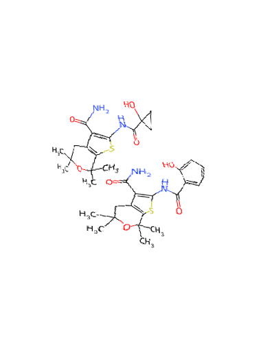 CC1(C)Cc2c(sc(NC(=O)C3(O)CC3)c2C(N)=O)C(C)(C)O1.CC1(C)Cc2c(sc(NC(=O)c3ccccc3O)c2C(N)=O)C(C)(C)O1